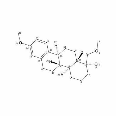 COCC1(O)CCC[C@H]2[C@@H]3CCc4cc(OC)ccc4[C@H]3CC[C@@]21C